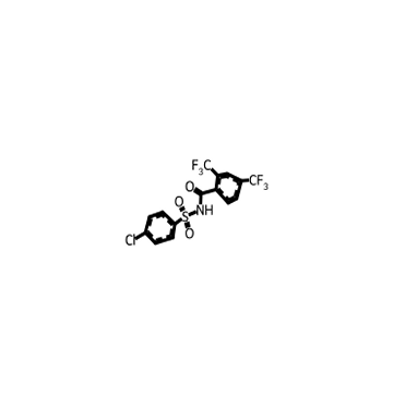 O=C(NS(=O)(=O)c1ccc(Cl)cc1)c1ccc(C(F)(F)F)cc1C(F)(F)F